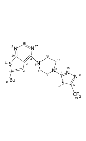 CCC(C)c1cc2c(N3CCN(c4nnc(C(F)(F)F)s4)CC3)ncnc2s1